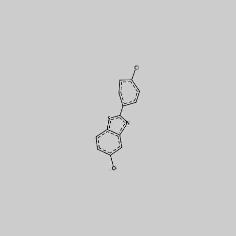 [O]c1ccc2sc(-c3ccc(Cl)cc3)nc2c1